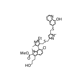 CCn1nc(C)c(-c2c(Cl)ccc3c(CCCO)c(C(=O)OC)n(C)c23)c1CSCc1cc(CSc2cc(O)c3ncccc3c2)n(C)n1